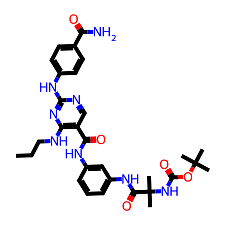 CCCNc1nc(Nc2ccc(C(N)=O)cc2)ncc1C(=O)Nc1cccc(NC(=O)C(C)(C)NC(=O)OC(C)(C)C)c1